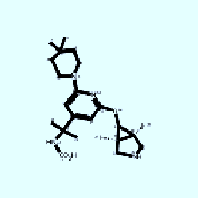 CC1(C)CCN(c2cc(C(C)(C)NC(=O)O)cc(OC3[C@H]4CNC[C@@H]34)n2)CC1